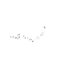 N#Cc1ccc(N2CCC3(CCN(c4ccc(C(=O)N5CCN(C6CCN(c7ccc8c(c7)C(=O)N(C7CCC(=O)NC7=O)C8=O)CC6)CC5)cc4F)CC3)C2)cc1Cl